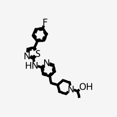 CC(O)N1CCC(Cc2ccnc(Nc3ncc(-c4ccc(F)cc4)s3)c2)CC1